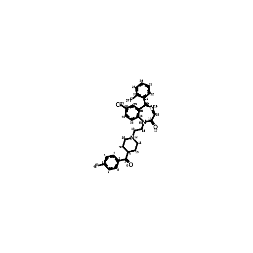 O=C(c1ccc(F)cc1)C1CCN(CCN2C(=O)C=NC(c3ccccc3F)c3cc(Cl)ccc32)CC1